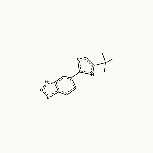 CC(C)(C)c1csc(-c2ccc3nonc3c2)n1